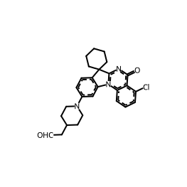 O=CCC1CCN(c2ccc3c(c2)-n2c(nc(=O)c4c(Cl)cccc42)C32CCCCC2)CC1